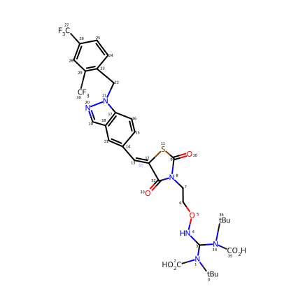 CC(C)(C)N(C(=O)O)C(NOCCN1C(=O)S/C(=C\c2ccc3c(cnn3Cc3ccc(C(F)(F)F)cc3C(F)(F)F)c2)C1=O)N(C(=O)O)C(C)(C)C